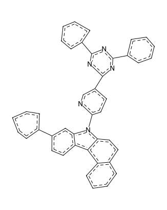 c1ccc(-c2ccc3c4c5ccccc5ccc4n(-c4ccc(-c5nc(-c6ccccc6)nc(-c6ccccc6)n5)cn4)c3c2)cc1